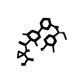 CC[C@@H](Nc1cccc(-c2cc(C)c(C(=O)NC3(C(=O)O)CC3)c(C)c2)c1)c1ccc(Cl)c(C)c1